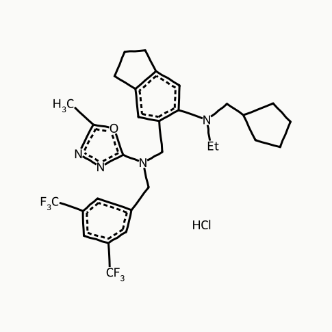 CCN(CC1CCCC1)c1cc2c(cc1CN(Cc1cc(C(F)(F)F)cc(C(F)(F)F)c1)c1nnc(C)o1)CCC2.Cl